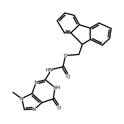 Cn1cnc2c(=O)[nH]c(NC(=O)OCC3c4ccccc4-c4ccccc43)nc21